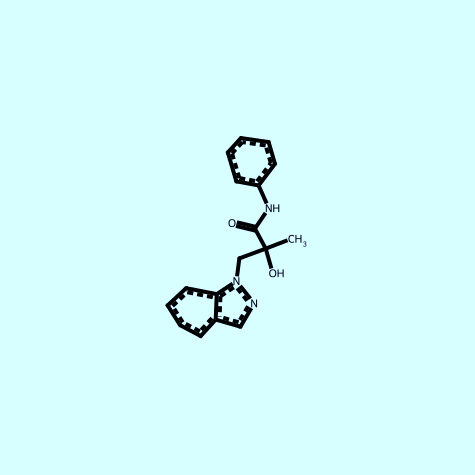 CC(O)(Cn1ncc2ccccc21)C(=O)Nc1ccccc1